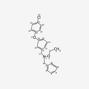 CCON(Cc1ccccc1)Cc1cccc(Oc2ccc(Cl)cc2)c1